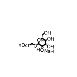 CCCCCCCCCO[C@H]1O[C@H](CO)[C@@H](O)[C@H](O)[C@H]1O.[NaH]